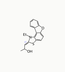 CCN1/C(=C/C(C)O)Sc2ccc3oc4ccccc4c3c21